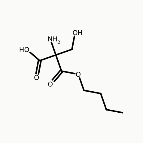 CCCCOC(=O)C(N)(CO)C(=O)O